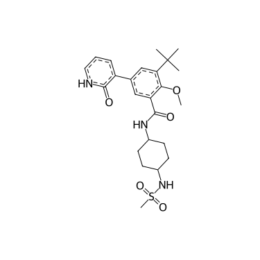 COc1c(C(=O)NC2CCC(NS(C)(=O)=O)CC2)cc(-c2ccc[nH]c2=O)cc1C(C)(C)C